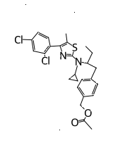 CCC(Cc1ccc(COC(C)=O)cc1)N(c1nc(-c2ccc(Cl)cc2Cl)c(C)s1)C1CC1